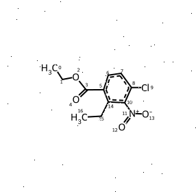 CCOC(=O)c1ccc(Cl)c([N+](=O)[O-])c1CC